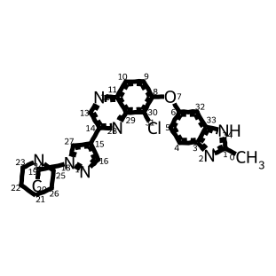 Cc1nc2ccc(Oc3ccc4ncc(-c5cnn(C6CC7CCN6CC7)c5)nc4c3Cl)cc2[nH]1